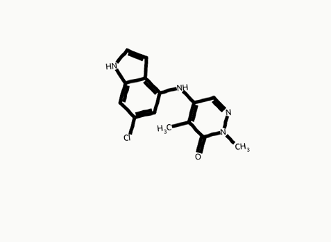 Cc1c(Nc2cc(Cl)cc3[nH]ccc23)cnn(C)c1=O